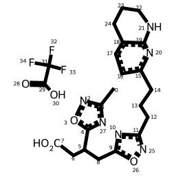 Cc1noc(C(CC(=O)O)Cc2nc(CCCc3ccc4c(n3)NCCC4)no2)n1.O=C(O)C(F)(F)F